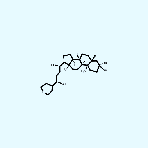 CC[C@]1(O)CC[C@@]2(C)[C@H](CC[C@@H]3[C@@H]2CC[C@]2(C)[C@@H]([C@H](C)CC[C@@H](O)C4CCOCC4)CC[C@@H]32)C1